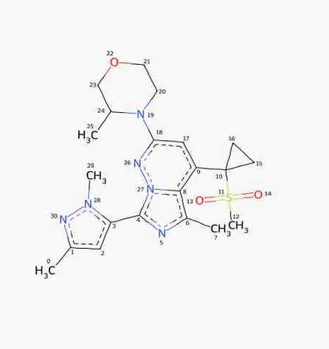 Cc1cc(-c2nc(C)c3c(C4(S(C)(=O)=O)CC4)cc(N4CCOCC4C)nn23)n(C)n1